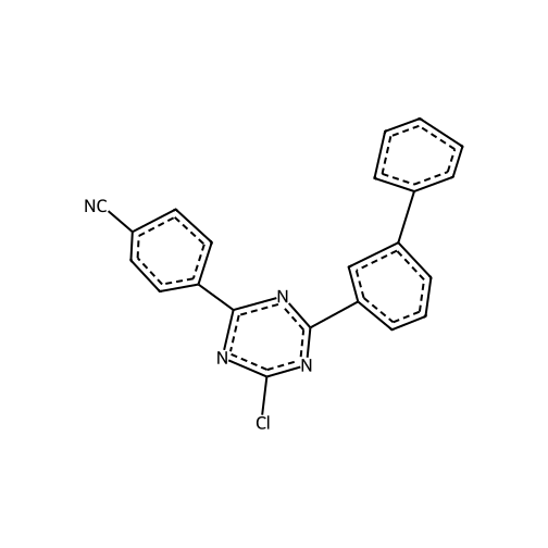 N#Cc1ccc(-c2nc(Cl)nc(-c3cccc(-c4ccccc4)c3)n2)cc1